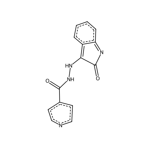 O=C1N=c2ccccc2=C1NNC(=O)c1ccncc1